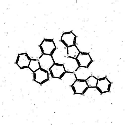 c1cc(-c2ccccc2-n2c3ccccc3c3ccccc32)cc(N(c2cccc3c2sc2ccccc23)c2cccc3c2sc2ccccc23)c1